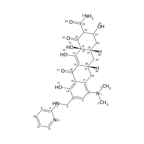 CN(C)c1cc(CNc2ccccn2)c(O)c2c1C[C@H]1C[C@H]3CC(O)C(C(N)=O)C(=O)[C@@]3(O)C(O)=C1C2=O